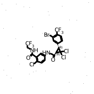 O=C(NCC(F)(F)F)c1cc(NC(=O)[C@H]2[C@H](c3ccc(C(F)(F)F)c(Br)c3)C2(Cl)Cl)ccc1Cl